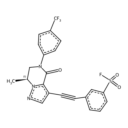 C[C@H]1CN(c2ccc(C(F)(F)F)cc2)C(=O)c2c(C#Cc3cccc(S(=O)(=O)F)c3)cnn21